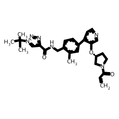 C=CC(=O)N1CC[C@H](Oc2cnccc2-c2ccc(CNC(=O)c3cn(C(C)(C)C)nn3)c(C)c2)C1